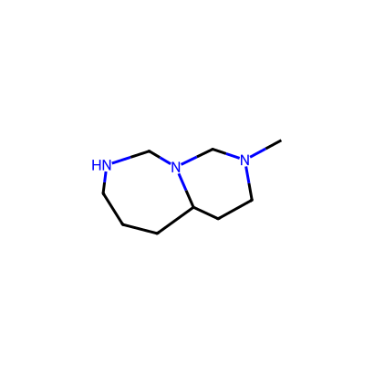 CN1CCC2CCCNCN2C1